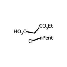 CCCCCCl.CCOC(=O)CC(=O)O